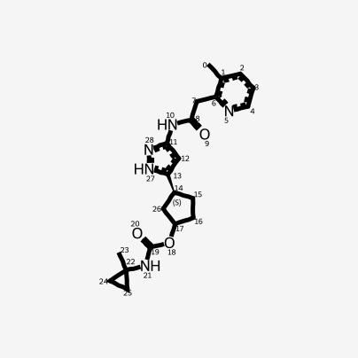 Cc1cccnc1CC(=O)Nc1cc([C@H]2CCC(OC(=O)NC3(C)CC3)C2)[nH]n1